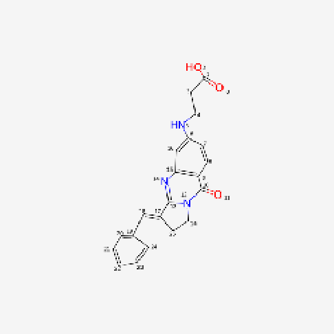 O=C(O)CCNc1ccc2c(=O)n3c(nc2c1)C(=Cc1ccccc1)CC3